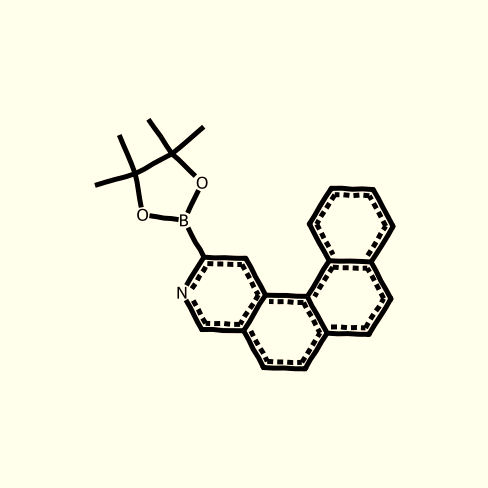 CC1(C)OB(c2cc3c(ccc4ccc5ccccc5c43)cn2)OC1(C)C